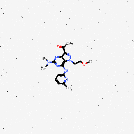 CCOCCn1nc(C(=O)OC)c2nc(N(C)C(C)C)nc(Nc3cccc(C)n3)c21